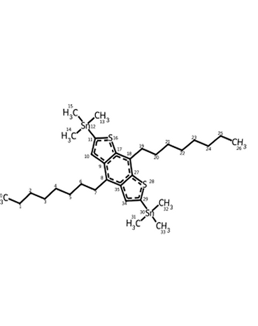 CCCCCCCCc1c2c[c]([Sn]([CH3])([CH3])[CH3])sc2c(CCCCCCCC)c2s[c]([Sn]([CH3])([CH3])[CH3])cc12